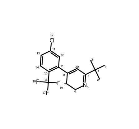 CC(C)(C)C1=NCCC(c2cc(Cl)ccc2C(F)(F)F)=C1